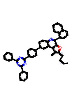 C=c1/c(=C\C=C/C)oc2c(-c3cccc4ccccc34)nc3ccc(-c4ccc(-c5nc(-c6ccccc6)nc(-c6ccccc6)n5)cc4)cc3c12